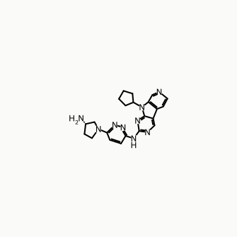 N[C@H]1CCN(c2ccc(Nc3ncc4c5ccncc5n(C5CCCC5)c4n3)nn2)C1